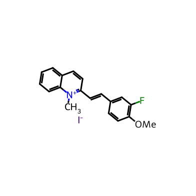 COc1ccc(/C=C/c2ccc3ccccc3[n+]2C)cc1F.[I-]